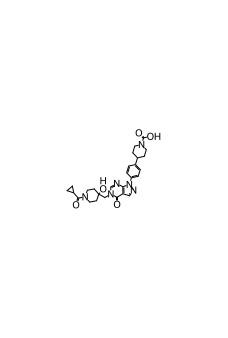 O=C(O)N1CCC(c2ccc(-n3ncc4c(=O)n(CC5(O)CCN(C(=O)C6CC6)CC5)cnc43)cc2)CC1